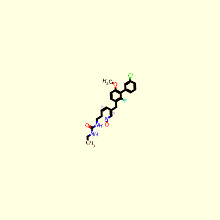 CCNC(=O)NCC/C=C\C(=C/N=O)Cc1ccc(OC)c(-c2cccc(Cl)c2)c1F